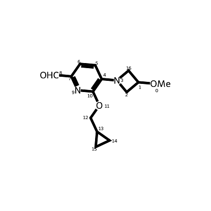 COC1CN(c2ccc(C=O)nc2OCC2CC2)C1